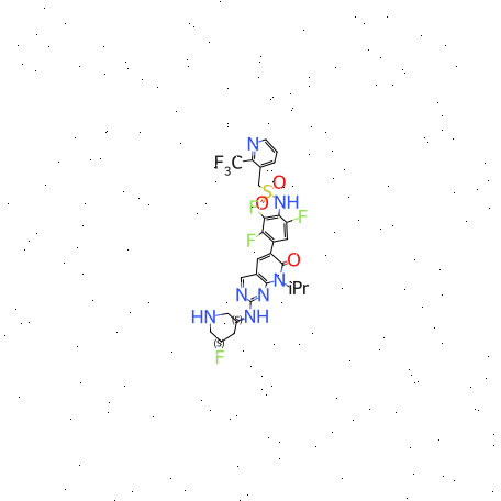 CC(C)n1c(=O)c(-c2cc(F)c(NS(=O)(=O)Cc3cccnc3C(F)(F)F)c(F)c2F)cc2cnc(N[C@@H]3CNC[C@@H](F)C3)nc21